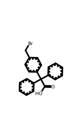 O=C(O)C(c1ccccc1)(c1ccccc1)c1ccc(CBr)cc1